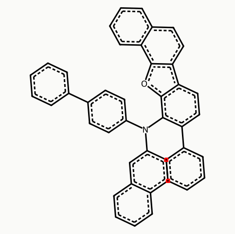 c1ccc(-c2ccc(N(c3ccc4ccccc4c3)c3c(-c4ccccc4)ccc4c3oc3c5ccccc5ccc43)cc2)cc1